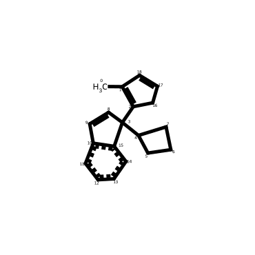 CC1=C(C2(C3CCC3)C=Cc3ccccc32)CC=C1